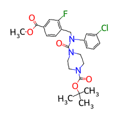 COC(=O)c1ccc(CN(C(=O)N2CCN(C(=O)OC(C)(C)C)CC2)c2cccc(Cl)c2)c(F)c1